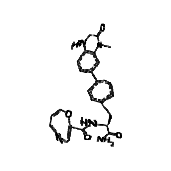 CN1C(=O)CNc2ccc(-c3ccc(C[C@H](NC(=O)C4=CN=CC=CO4)C(N)=O)cc3)cc21